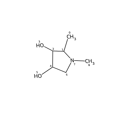 CC1C(O)C(O)CN1C